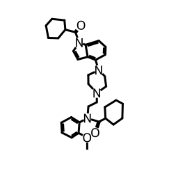 COc1ccccc1N(CCN1CCN(c2cccc3c2ccn3C(=O)C2CCCCC2)CC1)C(=O)C1CCCCC1